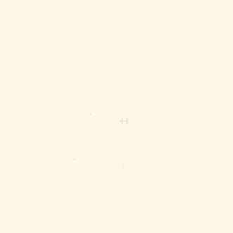 CCC(C)(C)C(O)OC12CC3CC(CC(OC(C)C(O)OC4(C)CCCC4)(C3)C1)C2